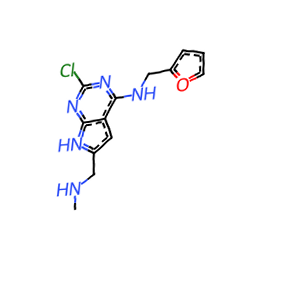 CNCc1cc2c(NCc3ccco3)nc(Cl)nc2[nH]1